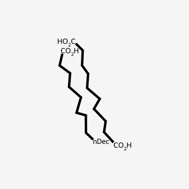 CCCCCCCCCCCCCCCCCC(=O)O.O=C(O)CCCCCCCCC(=O)O